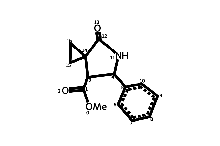 COC(=O)C1C(c2ccccc2)NC(=O)C12CC2